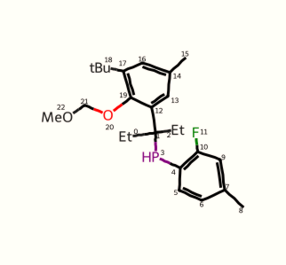 CCC(CC)(Pc1ccc(C)cc1F)c1cc(C)cc(C(C)(C)C)c1OCOC